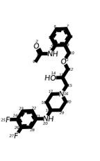 CC(=O)Nc1ccccc1COCC(O)CN1CCC(Nc2ccc(F)c(F)c2)CC1